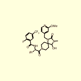 COc1cc(CN2C(=O)N(C)C(O)C23CCN(C(=O)[C@H](NC(=O)c2cc(C(F)(F)F)ccc2F)C(C)C)CC3)ccn1